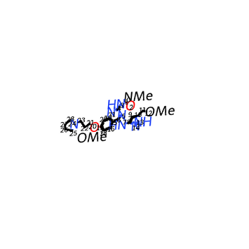 CNC(=O)Nc1nc(Nc2cc(COC)[nH]n2)c2cc(OC)c(OCCCN3CCCC3)cc2n1